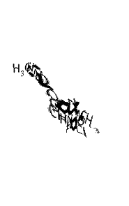 COc1cc(Nc2c(C#N)cnc3cc(OCCON4CCN(C)CC4)c(OC)cc23)c(F)cc1Cl